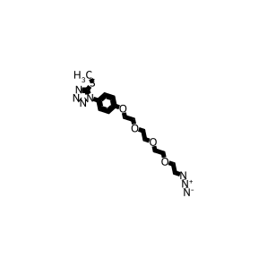 CSc1nnnn1-c1ccc(OCCOCCOCCOCCN=[N+]=[N-])cc1